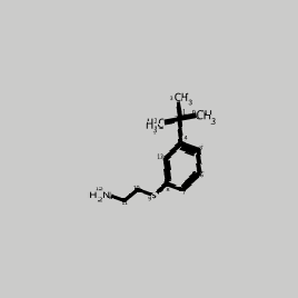 CC(C)(C)c1cccc(SCCN)c1